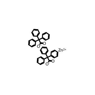 O=C([O-])C(c1ccccc1)(c1ccccc1)c1ccccc1.O=C([O-])C(c1ccccc1)(c1ccccc1)c1ccccc1.[Zn+2]